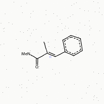 CNC(=O)/C(C)=C/c1ccccc1